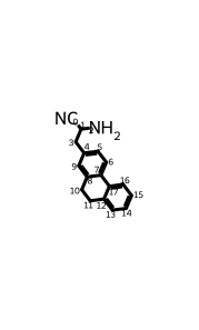 N#CC(N)Cc1ccc2c(c1)CCc1ccccc1-2